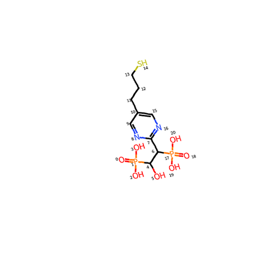 O=P(O)(O)C(O)C(c1ncc(CCCS)cn1)P(=O)(O)O